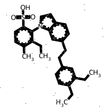 CCc1ccc(CCc2ccc3ccn(-c4c(S(=O)(=O)O)ccc(C)c4CC)c3c2)cc1CC